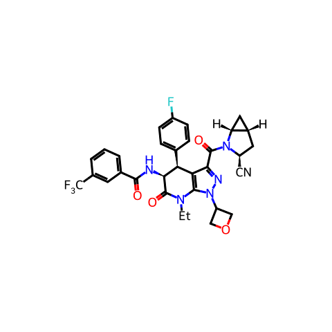 CCN1C(=O)[C@@H](NC(=O)c2cccc(C(F)(F)F)c2)[C@@H](c2ccc(F)cc2)c2c(C(=O)N3[C@H](C#N)C[C@H]4C[C@H]43)nn(C3COC3)c21